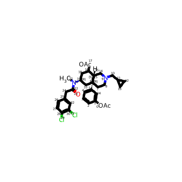 CC(=O)Oc1cccc([C@@]23CCN(CC4CC4)C[C@H]2C(OC(C)=O)C[C@H](N(C)C(=O)Cc2ccc(Cl)c(Cl)c2)C3)c1